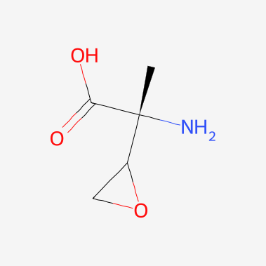 C[C@](N)(C(=O)O)C1CO1